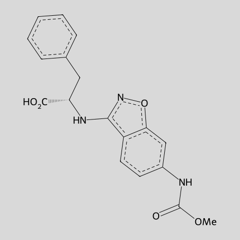 COC(=O)Nc1ccc2c(N[C@@H](Cc3ccccc3)C(=O)O)noc2c1